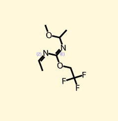 C/C=N\C(=N/C(C)OC)OCC(F)(F)F